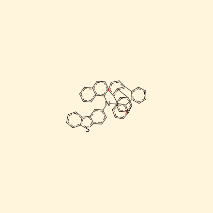 c1ccc2c(c1)-c1cccc3c1-c1cc(N(c4ccc5sc6ccccc6c5c4)c4cccc5ccccc45)ccc1-c1cccc-3c1-2